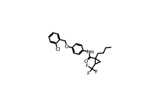 CCCCC1(C(=O)Nc2ccc(OCc3ccccc3Cl)cc2)CC1C(F)(F)F